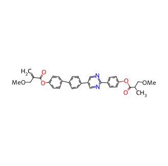 C=C(COC)C(=O)Oc1ccc(-c2ccc(-c3cnc(-c4ccc(OC(=O)C(C)COC)cc4)nc3)cc2)cc1